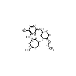 N#Cc1cnc(NC2CCC(OCC(F)(F)F)CC2)nc1N[C@@H]1CCCC[C@H](O)C1